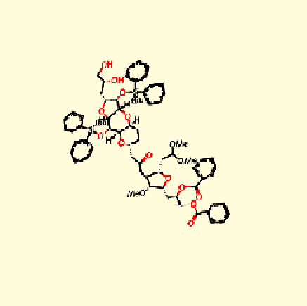 COC(C[C@@H]1O[C@H](C[C@H](COC(=O)c2ccccc2)OC(=O)c2ccccc2)[C@H](OC)[C@H]1CC(=O)C[C@H]1CC[C@@H]2O[C@@H]3[C@@H](O[C@H](C[C@@H](O)CO)[C@@H]3O[Si](c3ccccc3)(c3ccccc3)C(C)(C)C)[C@@H](O[Si](c3ccccc3)(c3ccccc3)C(C)(C)C)[C@H]2O1)OC